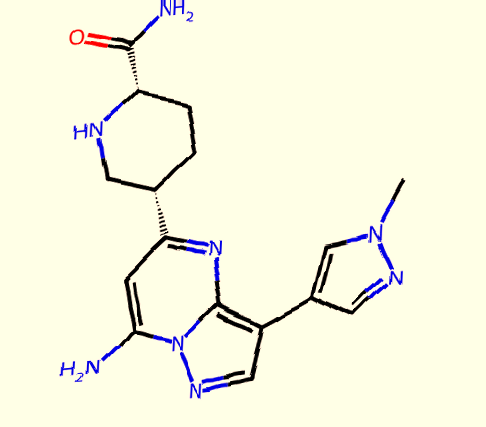 Cn1cc(-c2cnn3c(N)cc([C@H]4CC[C@@H](C(N)=O)NC4)nc23)cn1